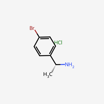 C[C@@H](N)c1ccc(Br)cc1.Cl